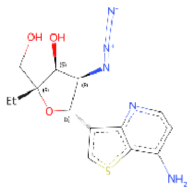 CC[C@]1(CO)O[C@@H](c2csc3c(N)ccnc23)[C@H](N=[N+]=[N-])[C@@H]1O